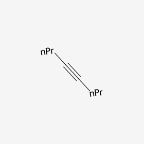 [CH2]CCC#CCC[CH2]